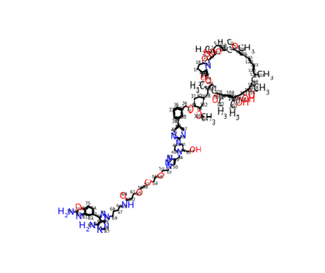 CO[C@H]1C[C@@H]2CC[C@@H](C)[C@@](O)(O2)C(=O)C(=O)N2CCCC[C@H]2C(=O)O[C@H]([C@H](C)C[C@@H]2CC[C@@H](OCc3cccc(-c4cnc(N5CCN(Cc6cn(CCOCCOCCOCCC(=O)NCCCCn7nc(-c8ccc9oc(N)nc9c8)c8c(N)ncnc87)nn6)C(CO)C5)nc4)c3)[C@H](OC)C2)CC(=O)[C@H](C)/C=C(\C)[C@@H](O)[C@@H](O)C(=O)[C@H](C)C[C@H](C)/C=C/C=C/C=C/1C